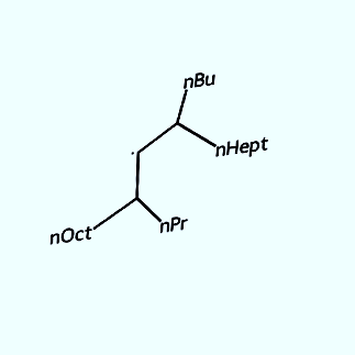 CCCCCCCCC([CH]C(CCCC)CCCCCCC)CCC